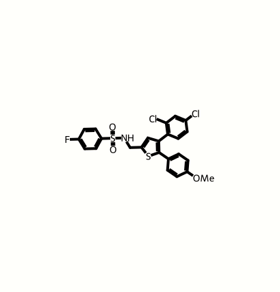 COc1ccc(-c2sc(CNS(=O)(=O)c3ccc(F)cc3)cc2-c2ccc(Cl)cc2Cl)cc1